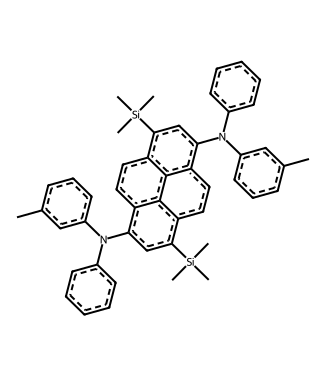 Cc1cccc(N(c2ccccc2)c2cc([Si](C)(C)C)c3ccc4c(N(c5ccccc5)c5cccc(C)c5)cc([Si](C)(C)C)c5ccc2c3c45)c1